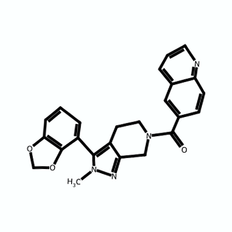 Cn1nc2c(c1-c1cccc3c1OCO3)CCN(C(=O)c1ccc3ncccc3c1)C2